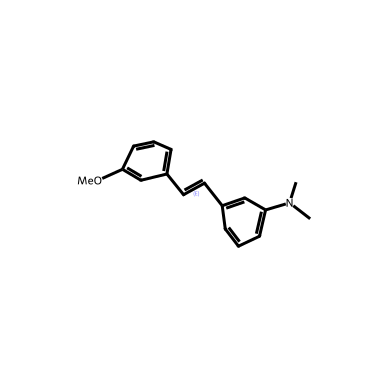 COc1cccc(/C=C/c2cccc(N(C)C)c2)c1